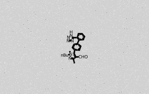 CCCC[N+]1(C)N=C(C)C(C=O)=C1c1ccc(-c2ccccc2-c2nnn[nH]2)cc1